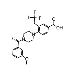 COc1cccc(C(=O)N2CCN(c3ccc(C(=O)O)cc3CC(F)(F)F)CC2)c1